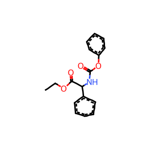 CCOC(=O)C(NC(=O)Oc1ccccc1)c1ccccc1